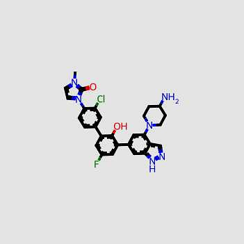 Cn1ccn(-c2ccc(-c3cc(F)cc(-c4cc(N5CCC(N)CC5)c5cn[nH]c5c4)c3O)cc2Cl)c1=O